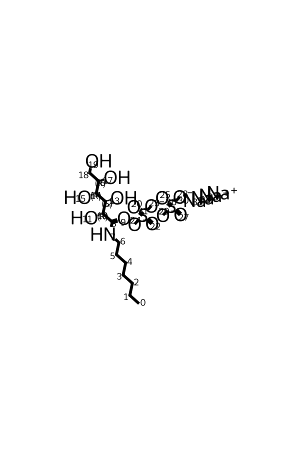 CCCCCCCNC(=O)[C@H](O)[C@@H](O)[C@H](O)[C@H](O)CO.O=S(=O)([O-])[O-].O=S(=O)([O-])[O-].[Na+].[Na+].[Na+].[Na+]